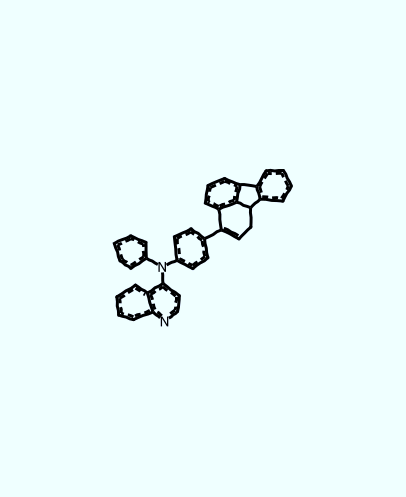 C1=C(c2ccc(N(c3ccccc3)c3ccnc4ccccc34)cc2)c2cccc3c2C(C1)c1ccccc1-3